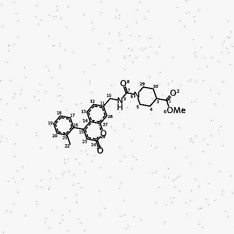 COC(=O)C1CCN(C(=O)NCc2ccc3c(-c4ccccc4C)cc(=O)oc3c2)CC1